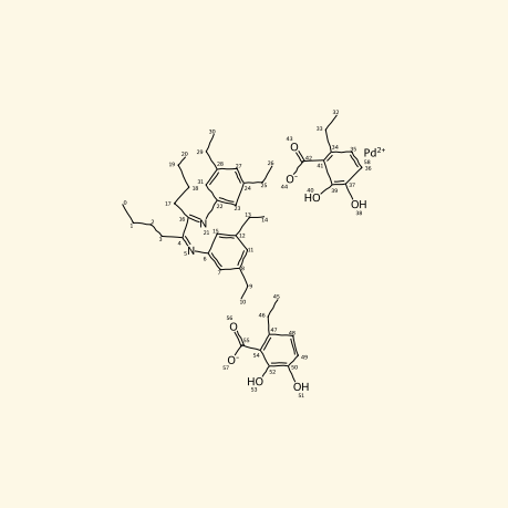 CCCCC(=Nc1cc(CC)cc(CC)c1)C(CCCC)=Nc1cc(CC)cc(CC)c1.CCc1ccc(O)c(O)c1C(=O)[O-].CCc1ccc(O)c(O)c1C(=O)[O-].[Pd+2]